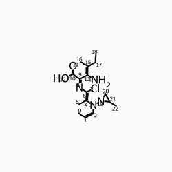 C/C=C\N(/C(C)=C(Cl)/N=C(C(=O)O)\C(N)=C(/C)CC)N1CC1C